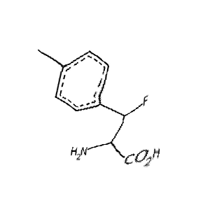 Cc1ccc(C(F)C(N)C(=O)O)cc1